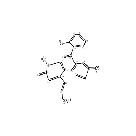 Cn1cc(-c2ccc(C(F)(F)F)cc2C(=O)c2ccccc2Cl)c(C=CC(=O)O)cc1=O